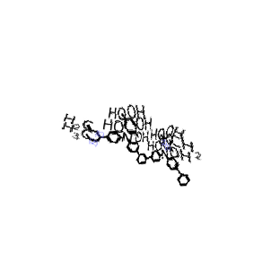 C=C/C=C(\C=C/C)c1ccc(N(c2ccc(-c3cccc(-c4ccc(N(C(=C(\O)C(=C)O)/C(O)=C(/O)CO)c5ccc(-c6ccccc6)cc5)cc4)c3)cc2)c2c(O)c(O)c(O)c(O)c2O)cc1